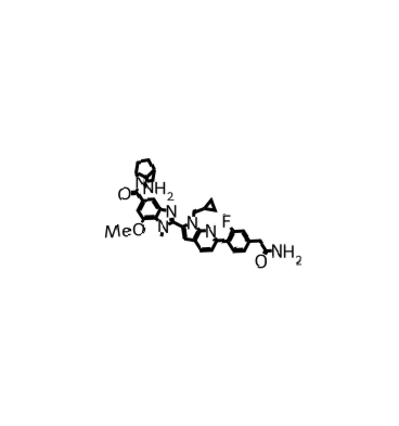 COc1cc(C(=O)N2CC3CCC2C3N)cc2nc(-c3cc4ccc(-c5ccc(CC(N)=O)cc5F)nc4n3CC3CC3)n(C)c12